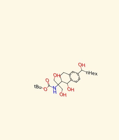 CCCCCCC(O)c1ccc2c(c1)CCC(C(CO)(CO)NC(=O)OC(C)(C)C)C2O